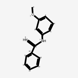 COc1cccc(NC(=N)c2ccccc2)c1